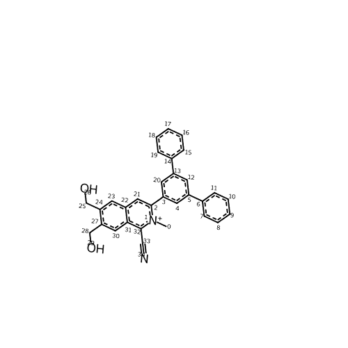 C[n+]1c(-c2cc(-c3ccccc3)cc(-c3ccccc3)c2)cc2cc(CO)c(CO)cc2c1C#N